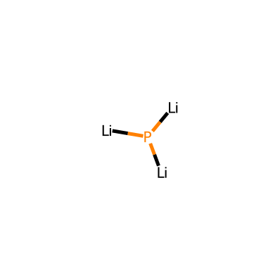 [Li][P]([Li])[Li]